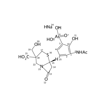 CC(=O)Nc1cccc([As](=O)(O)O)c1O.O=C1C[C@H]2SCC(CO)(C(=O)O)CN12.[NaH]